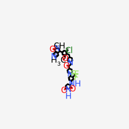 COc1cc(-c2cn(C)c(=O)c3cnccc23)cc(Cl)c1CC1CCN(CC(=O)C2CCN(c3ccc(NC4CCC(=O)NC4=O)cc3C(F)(F)F)CC2)CC1